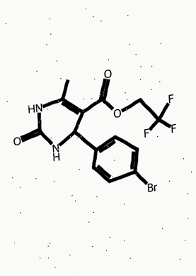 CC1=C(C(=O)OCC(F)(F)F)C(c2ccc(Br)cc2)NC(=O)N1